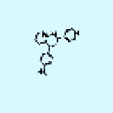 CN(C)c1ccc([C@H](C/C(=N\O)c2ccncc2)c2ccccc2)cc1